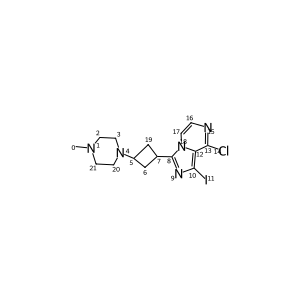 CN1CCN(C2CC(c3nc(I)c4c(Cl)nccn34)C2)CC1